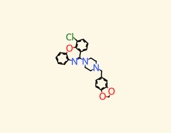 Clc1cccc2c1Oc1ccccc1N=C2N1CCN(Cc2ccc3c(c2)OCO3)CC1